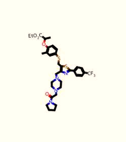 CCOC(=O)C(C)Oc1ccc(SCc2sc(-c3ccc(C(F)(F)F)cc3)nc2CN2CCN(CC(=O)N3CCCC3)CC2)cc1C